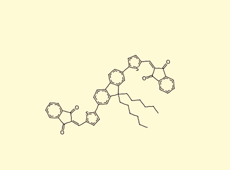 CCCCCCC1(CCCCCC)c2cc(-c3ccc(C=C4C(=O)c5ccccc5C4=O)s3)ccc2-c2ccc(-c3ccc(C=C4C(=O)c5ccccc5C4=O)s3)cc21